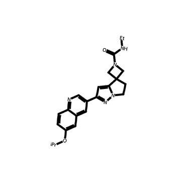 CCNC(=O)N1CC2(CCn3nc(-c4cnc5ccc(OC(C)C)cc5c4)cc32)C1